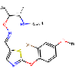 CCOc1ccc(Oc2ncc(C=NOC([C@H](C)NC(=O)O)C(C)(C)C)s2)c(Br)c1